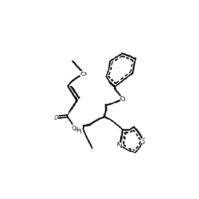 CCC(COc1ccccc1)c1cscn1.COC=CC(=O)O